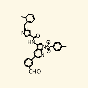 Cc1ccc(S(=O)(=O)n2cc(NC(=O)c3cnn(CC4=CC=CCC4C)c3)c3cc(-c4cccc(C=O)c4)cnc32)cc1